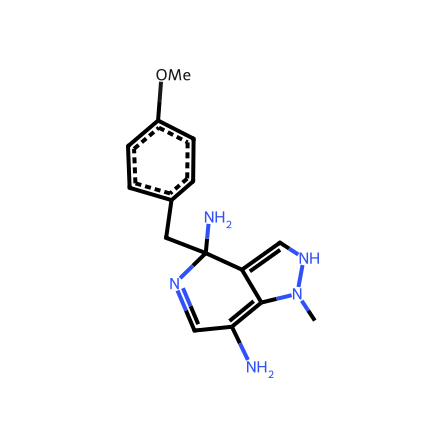 COc1ccc(CC2(N)N=CC(N)=C3C2=CNN3C)cc1